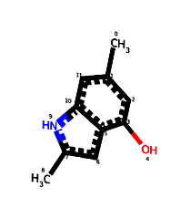 Cc1cc(O)c2cc(C)[nH]c2c1